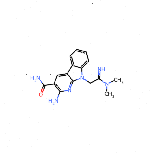 CN(C)C(=N)Cn1c2ccccc2c2cc(C(N)=O)c(N)nc21